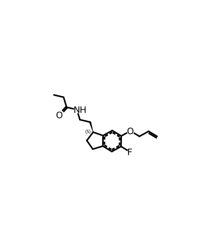 C=CCOc1cc2c(cc1F)CC[C@H]2CCNC(=O)CC